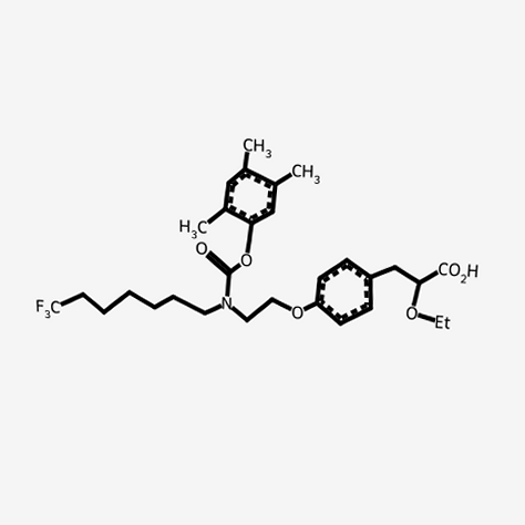 CCOC(Cc1ccc(OCCN(CCCCCCC(F)(F)F)C(=O)Oc2cc(C)c(C)cc2C)cc1)C(=O)O